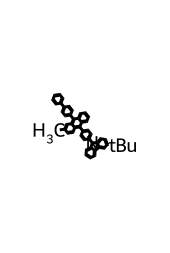 Cc1ccc2c(-c3ccc(-n4c5ccccc5c5cc(C(C)(C)C)ccc54)cc3)c3ccccc3c(-c3ccc(-c4ccccc4)cc3)c2c1